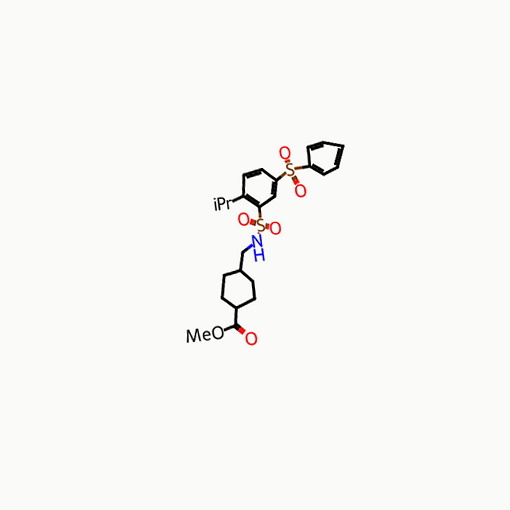 COC(=O)C1CCC(CNS(=O)(=O)c2cc(S(=O)(=O)c3ccccc3)ccc2C(C)C)CC1